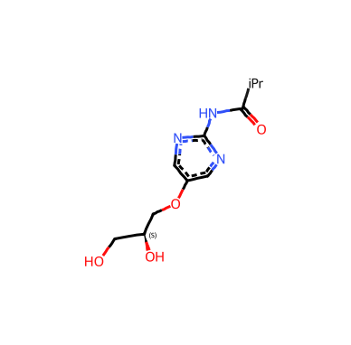 CC(C)C(=O)Nc1ncc(OC[C@@H](O)CO)cn1